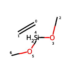 C=C.CO[SiH2]OC